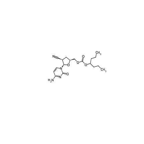 CCCC(CCC)OC(=O)OC[C@@H]1C[C@H](C#N)[C@H](n2ccc(N)nc2=O)O1